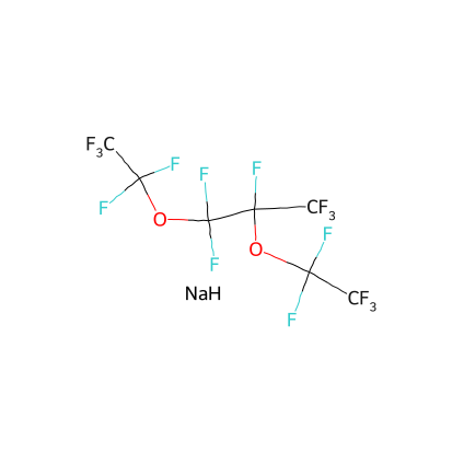 FC(F)(F)C(F)(F)OC(F)(F)C(F)(OC(F)(F)C(F)(F)F)C(F)(F)F.[NaH]